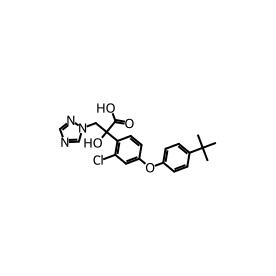 CC(C)(C)c1ccc(Oc2ccc(C(O)(Cn3cncn3)C(=O)O)c(Cl)c2)cc1